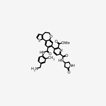 COC(=O)c1nc(C(=O)NC2CNC(=O)C2)ccc1-c1cc2c(cc1C(=O)Nc1ccc(CN)cc1C)-c1sccc1CCO2